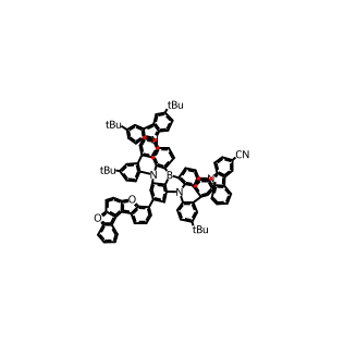 CC(C)(C)c1ccc(N2c3cc(-n4c5ccccc5c5cc(C#N)ccc54)ccc3B3c4ccc(-n5c6ccc(C(C)(C)C)cc6c6cc(C(C)(C)C)ccc65)cc4N(c4ccc(C(C)(C)C)cc4-c4ccccc4)c4cc(-c5cccc6c5oc5ccc7oc8ccccc8c7c56)cc2c43)c(-c2ccccc2)c1